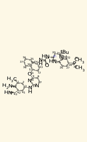 Cc1cc(Nc2nccc(Oc3ccc(NC(=O)N/C(=C/C(=N)C(C)(C)C)Nc4ccc(P(C)C)cc4)c4ccccc34)n2)cc(C=N)c1N